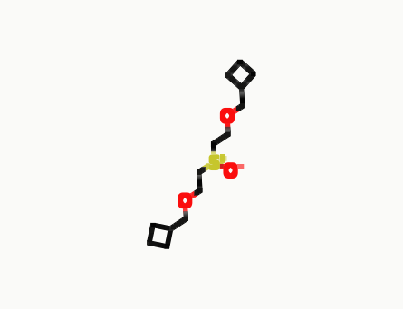 [O-][S+](CCOCC1CCC1)CCOCC1CCC1